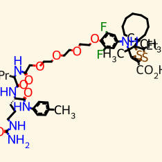 CCC1SC(C(=O)O)=C2SC1(C1(C)CCCCCCCCC1)C2(C)Nc1cc(F)c(OCCOCCOCCOCC(=O)NC(C(=O)N[C@@H](CCCNC(N)=O)C(=O)Nc2ccc(C)cc2)C(C)C)c(F)c1